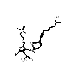 CC(C)(C)OC(=O)CCCCC#Cc1ccc(Nc2c(C(N)=O)c(Br)nn2COCC[Si](C)(C)C)nc1